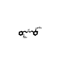 CCCCOc1ccccc1CCNCCc1ccccc1OCCCC